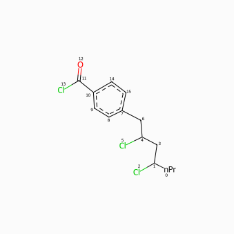 CCCC(Cl)CC(Cl)Cc1ccc(C(=O)Cl)cc1